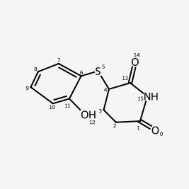 O=C1CCC(Sc2ccccc2O)C(=O)N1